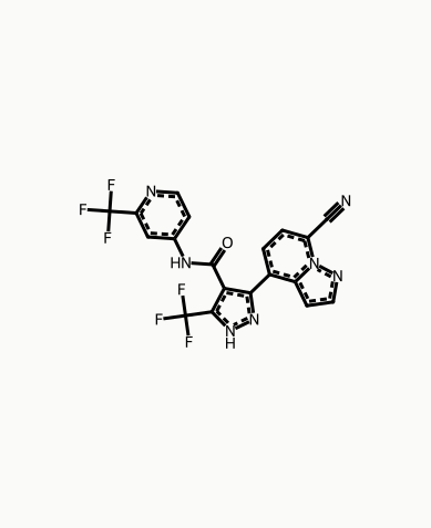 N#Cc1ccc(-c2n[nH]c(C(F)(F)F)c2C(=O)Nc2ccnc(C(F)(F)F)c2)c2ccnn12